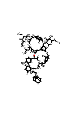 CC(C)C[C@H](C(=O)N[C@H]1C(=O)N[C@@H](CC(N)=O)C(=O)N[C@H]2C(=O)N[C@H]3C(=O)N[C@H](C(=O)N[C@H](C(=O)NC4C5CC6CC(C5)CC4C6)c4cc(O)cc(O)c4-c4cc3ccc4O)[C@H](O)c3ccc(c(Cl)c3)Oc3cc2cc(c3OC2OC(CN)C(O)C(O)C2O)Oc2ccc(cc2Cl)[C@H]1O)N(C)C(=O)OC(C)(C)C